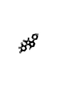 Cn1c(=O)n(C2CCC(=O)NC2=O)c2c(F)ccc(N3CCNCC3)c21